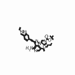 C=C(OCCCC)c1cnc(N)c2c(C#Cc3ccc4cn(CC)nc4c3)nn([C@H]3CCN(C(=O)OC(C)(C)C)C3)c12